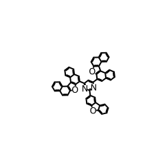 c1ccc2c(c1)ccc1oc3c(-c4cc(-c5cc6ccccc6c6c5oc5ccc7ccccc7c56)nc(-c5ccc6oc7ccccc7c6c5)n4)cc4ccccc4c3c12